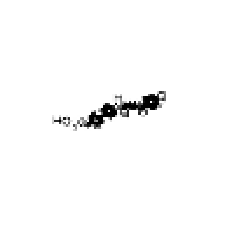 O=C(O)CC1CCC(c2ccc(NC(=O)CCNC(=O)c3ccc(Cl)cc3)cc2)CC1